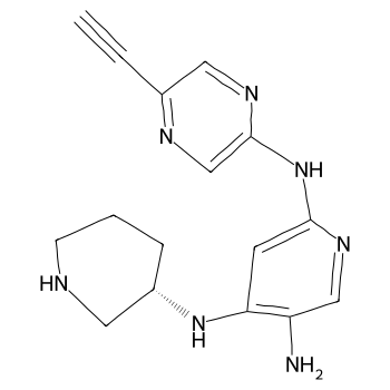 C#Cc1cnc(Nc2cc(N[C@H]3CCCNC3)c(N)cn2)cn1